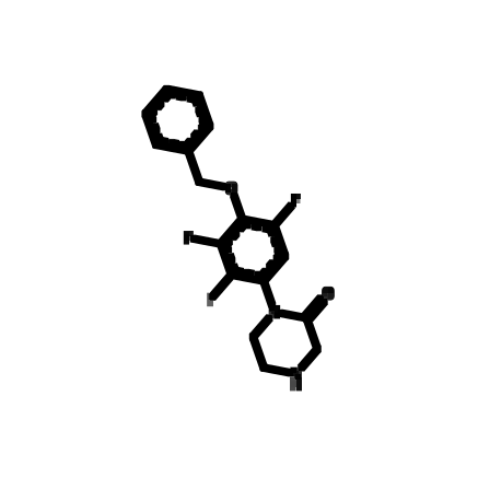 O=C1CNCCN1c1cc(F)c(OCc2ccccc2)c(F)c1I